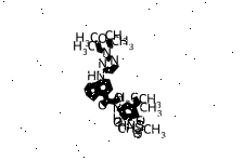 COc1c(NC(=O)C(=O)c2ccc(Nc3ccnc(N4CC(C)(C)OC(C)(C)C4)n3)c3ccccc23)cc(C(C)(C)C)cc1NS(C)(=O)=O